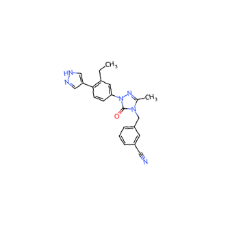 CCc1cc(-n2nc(C)n(Cc3cccc(C#N)c3)c2=O)ccc1-c1cn[nH]c1